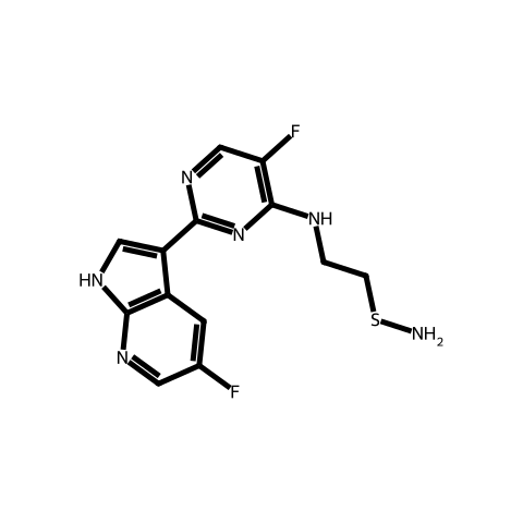 NSCCNc1nc(-c2c[nH]c3ncc(F)cc23)ncc1F